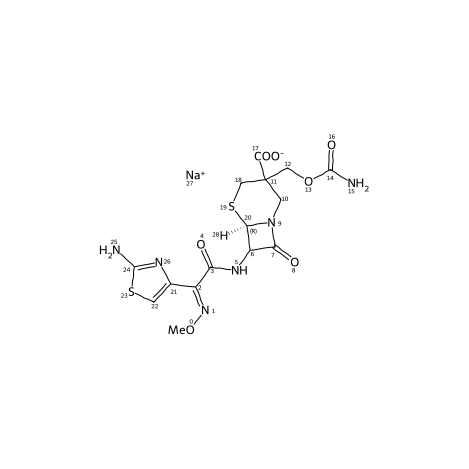 CON=C(C(=O)NC1C(=O)N2CC(COC(N)=O)(C(=O)[O-])CS[C@H]12)c1csc(N)n1.[Na+]